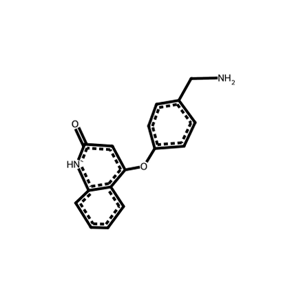 NCc1ccc(Oc2cc(=O)[nH]c3ccccc23)cc1